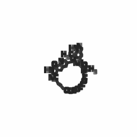 Cc1cc(C[C@H]2NC(=O)c3cnc4c(c3)C[C@@]3(C4)C(=O)Nc4ncc(cc43)/C=C/COCCOCCOCCN(C)C2=O)cc2cn[nH]c12